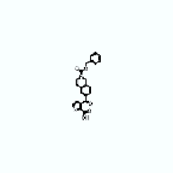 O=C(c1ccc2c(c1)CCN(C(=O)OCc1ccccc1)C2)c1ccsc1C(=O)O